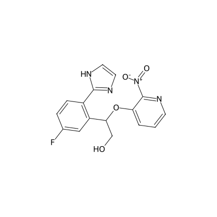 O=[N+]([O-])c1ncccc1OC(CO)c1cc(F)ccc1-c1ncc[nH]1